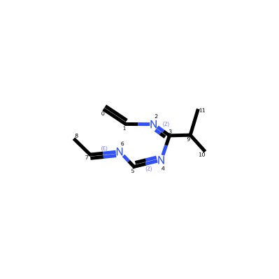 C=C\N=C(/N=C\N=C\C)C(C)C